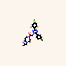 Cc1cn2c(n1)CCN(C(=O)Cn1nc(-c3ccc(F)cc3)nc1-c1ccc(F)cc1)CC2